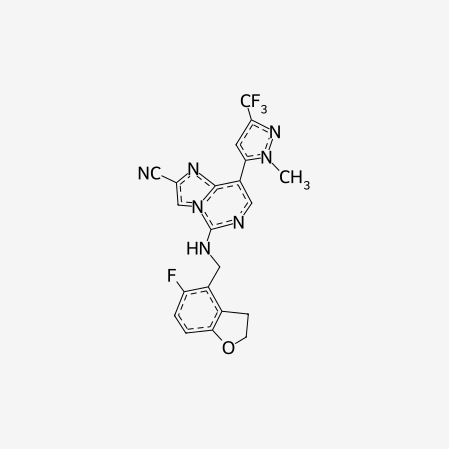 Cn1nc(C(F)(F)F)cc1-c1cnc(NCc2c(F)ccc3c2CCO3)n2cc(C#N)nc12